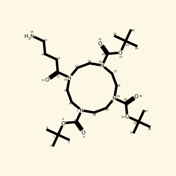 CC(C)(C)OC(=O)N1CCN(C(=O)CCCN)CCN(C(=O)OC(C)(C)C)CCN(C(=O)OC(C)(C)C)CC1